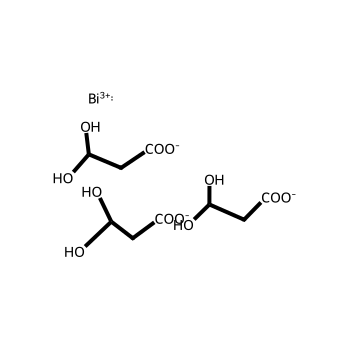 O=C([O-])CC(O)O.O=C([O-])CC(O)O.O=C([O-])CC(O)O.[Bi+3]